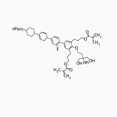 C=C(C)C(=O)OCCCc1cc(-c2ccc(C3C=CC(C4CCC(CCCCC)CC4)=CC3)cc2F)cc(CCCOC(=O)C(=C)C)c1OCCC(CO)(CO)CCC